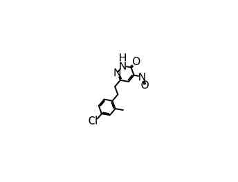 Cc1cc(Cl)ccc1CCc1cc(N=O)c(=O)[nH]n1